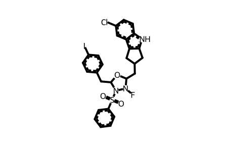 O=S(=O)(c1ccccc1)N1C(Cc2ccc(I)cc2)OC(CC2Cc3[nH]c4ccc(Cl)cc4c3C2)N1F